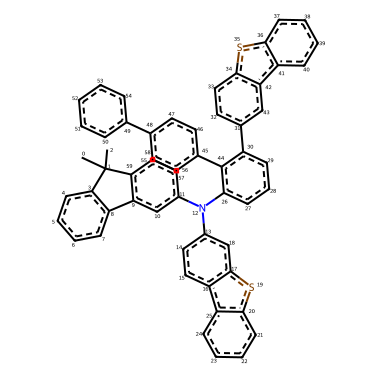 CC1(C)c2ccccc2-c2cc(N(c3ccc4c(c3)sc3ccccc34)c3cccc(-c4ccc5sc6ccccc6c5c4)c3-c3ccc(-c4ccccc4)cc3)ccc21